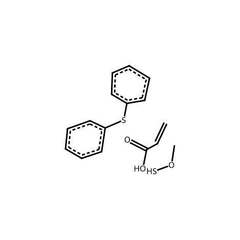 C=CC(=O)O.COS.c1ccc(Sc2ccccc2)cc1